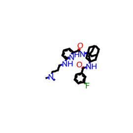 CN(C)CCCNc1cccc(C(=O)NC23CC4CC(CC(NC(=O)c5cccc(F)c5)(C4)C2)C3)n1